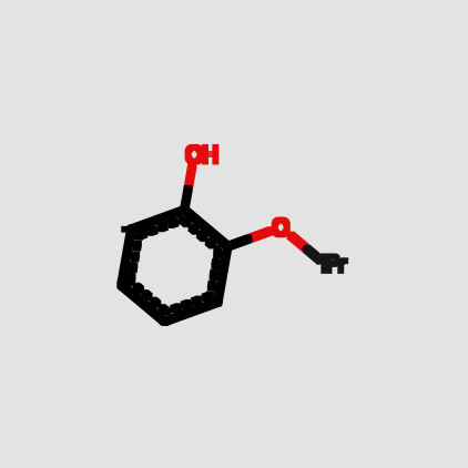 CC(C)Oc1ccc[c]c1O